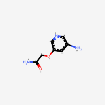 NC(=O)COc1cncc(N)c1